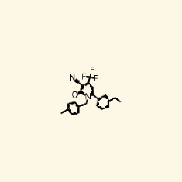 CCc1cccc(-c2cc(C(F)(F)F)c(C#N)c(=O)n2Cc2ccc(C)cc2)c1